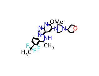 COc1nc2ncnc(N[C@H](C)c3cccc(C(C)(F)F)c3F)c2cc1N1CCN(C2CCOCC2)CC1